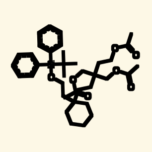 CC(=O)OCCC(CCC1(CCO[Si](c2ccccc2)(c2ccccc2)C(C)(C)C)CCCCC1)(COC(C)=O)COC(C)=O